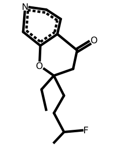 CCC1(CCC(C)F)CC(=O)c2ccncc2O1